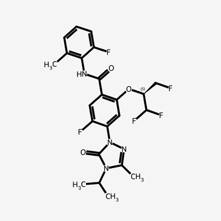 Cc1cccc(F)c1NC(=O)c1cc(F)c(-n2nc(C)n(C(C)C)c2=O)cc1O[C@@H](CF)C(F)F